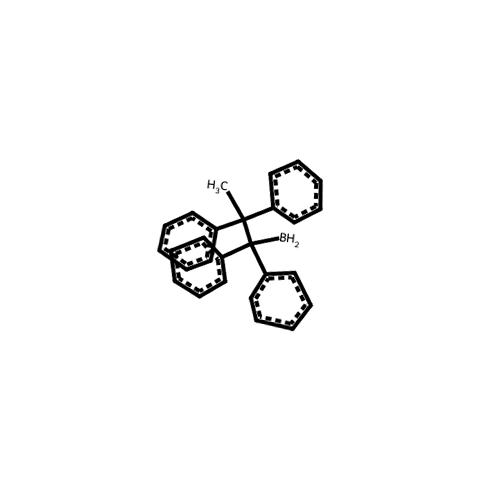 BC(c1ccccc1)(c1ccccc1)C(C)(c1ccccc1)c1ccccc1